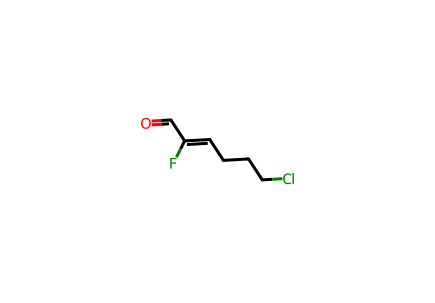 O=C/C(F)=C/CCCCl